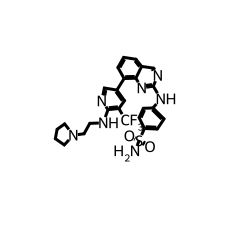 NS(=O)(=O)c1ccc(Nc2ncc3cccc(-c4cnc(NCCN5CCCC5)c(C(F)(F)F)c4)c3n2)cc1